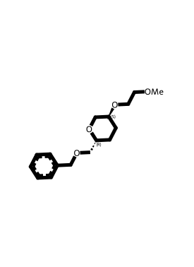 COCCO[C@H]1CC[C@H](COCc2ccccc2)OC1